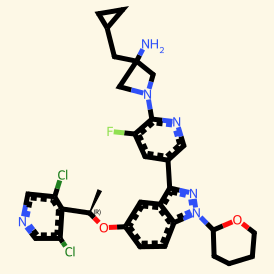 C[C@@H](Oc1ccc2c(c1)c(-c1cnc(N3CC(N)(CC4CC4)C3)c(F)c1)nn2C1CCCCO1)c1c(Cl)cncc1Cl